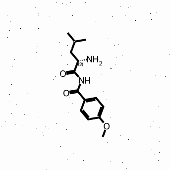 COc1ccc(C(=O)NC(=O)[C@@H](N)CC(C)C)cc1